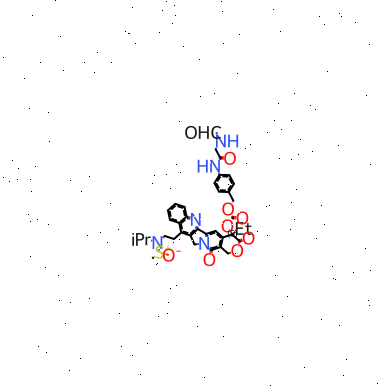 CC[C@@]1(OC(=O)OCc2ccc(NC(=O)CNC=O)cc2)C(=O)OCc2c1cc1n(c2=O)Cc2c-1nc1ccccc1c2CCN(C(C)C)[S+](C)[O-]